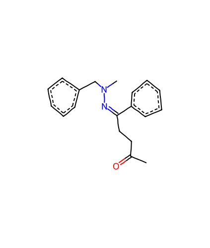 CC(=O)CCC(=NN(C)Cc1ccccc1)c1ccccc1